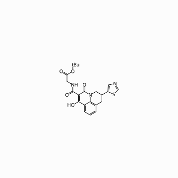 CC(C)(C)OC(=O)CNC(=O)c1c(O)c2cccc3c2n(c1=O)CC(c1cncs1)C3